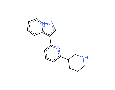 c1cc(-c2cnn3ccccc23)nc(C2CCCNC2)c1